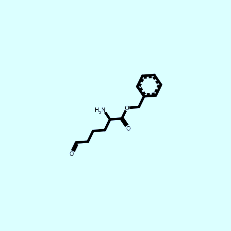 NC(CCCC=O)C(=O)OCc1ccccc1